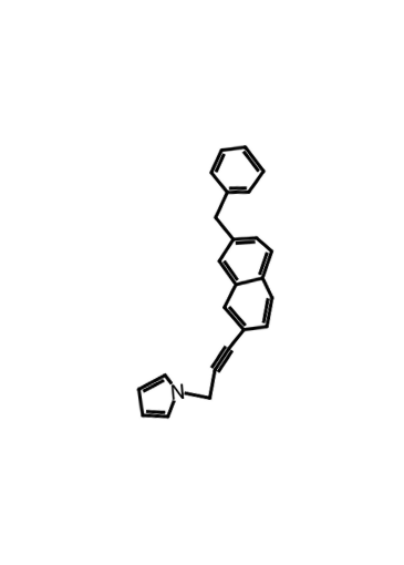 C(#Cc1ccc2ccc(Cc3ccccc3)cc2c1)Cn1cccc1